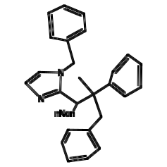 CCCCCCCCCC(c1nccn1Cc1ccccc1)C(C)(Cc1ccccc1)c1ccccc1